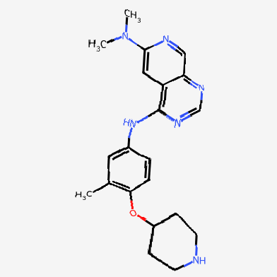 Cc1cc(Nc2ncnc3cnc(N(C)C)cc23)ccc1OC1CCNCC1